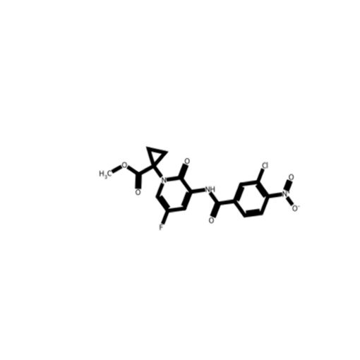 COC(=O)C1(n2cc(F)cc(NC(=O)c3ccc([N+](=O)[O-])c(Cl)c3)c2=O)CC1